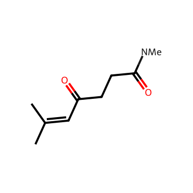 CNC(=O)CCC(=O)C=C(C)C